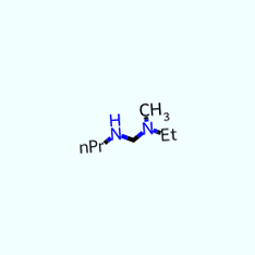 CCCNCN(C)CC